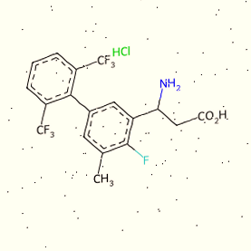 Cc1cc(-c2c(C(F)(F)F)cccc2C(F)(F)F)cc(C(N)CC(=O)O)c1F.Cl